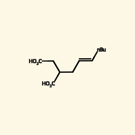 CCCCC=CCC(CC(=O)O)C(=O)O